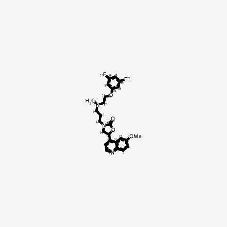 COc1ccc2nccc(C3CN(CCCN(C)CCOc4cc(F)cc(F)c4)C(=O)O3)c2c1